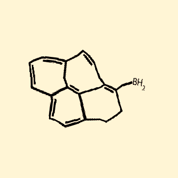 BC1=c2ccc3cccc4ccc(c2c43)CC1